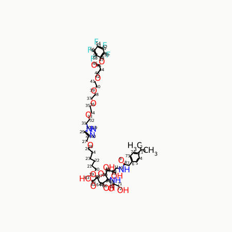 CC(C)c1ccc(CC(=O)NC[C@@H](O)[C@@H](O)[C@@H]2O[C@@](OCCCCCCOCc3cn(CCOCCOCCOCCOCCC(=O)Oc4c(F)c(F)c(F)c(F)c4F)nn3)(C(=O)O)C[C@H](O)[C@H]2NC(=O)CO)cc1